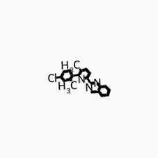 Cc1cc(Cl)ccc1-c1nc(-c2ncc3ccccc3n2)ccc1C